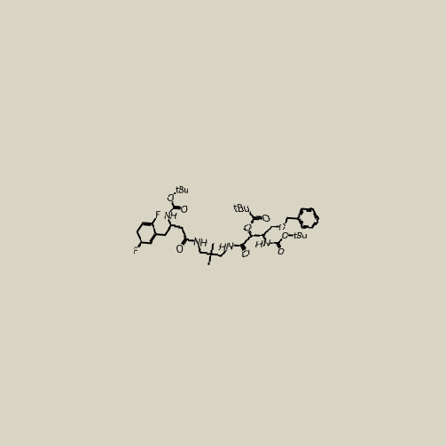 CC(C)(CNC(=O)CC(CC1=CC(F)CC=C1F)NC(=O)OC(C)(C)C)CNC(=O)C(OC(=O)C(C)(C)C)C(COCc1ccccc1)NC(=O)OC(C)(C)C